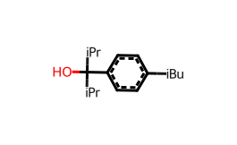 CCC(C)c1ccc(C(O)(C(C)C)C(C)C)cc1